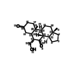 C[C@@]12CCC[C@H]1[C@@H]1C(=O)C(=NO)C3CC(=O)CC[C@]3(C)[C@H]1CC2